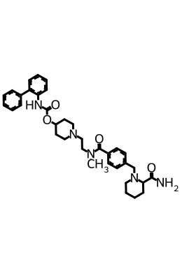 CN(CCN1CCC(OC(=O)Nc2ccccc2-c2ccccc2)CC1)C(=O)c1ccc(CN2CCCCC2C(N)=O)cc1